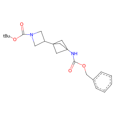 CC(C)(C)OC(=O)N1CC(C23CC(NC(=O)OCc4ccccc4)(C2)C3)C1